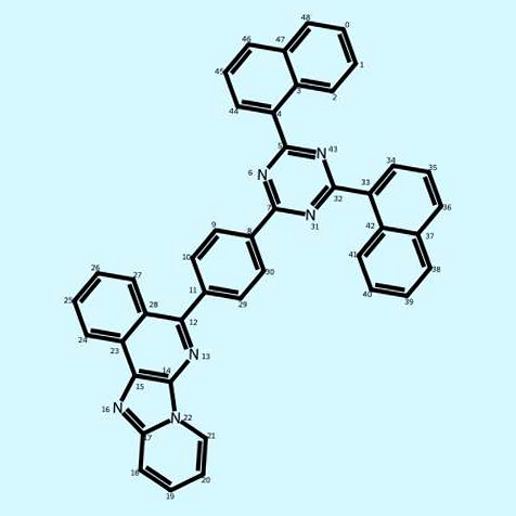 c1ccc2c(-c3nc(-c4ccc(-c5nc6c(nc7ccccn76)c6ccccc56)cc4)nc(-c4cccc5ccccc45)n3)cccc2c1